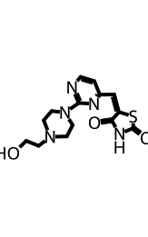 O=C1NC(=O)/C(=C\c2ccnc(N3CCN(CCO)CC3)n2)S1